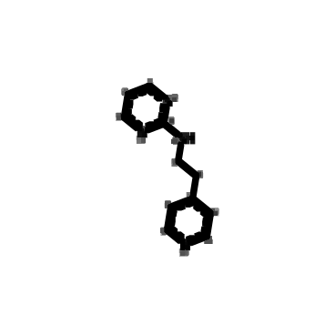 c1cnc(NCCc2ccncc2)nc1